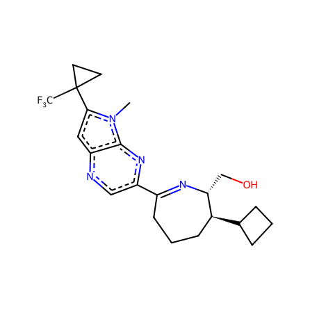 Cn1c(C2(C(F)(F)F)CC2)cc2ncc(C3=N[C@H](CO)[C@@H](C4CCC4)CCC3)nc21